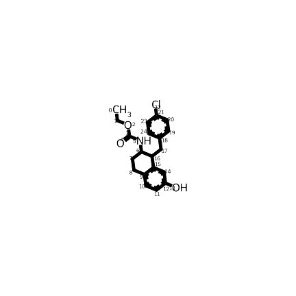 CCOC(=O)NC1CCc2ccc(O)cc2C1Cc1ccc(Cl)cc1